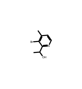 Cc1ccnc(C(C)O)c1Br